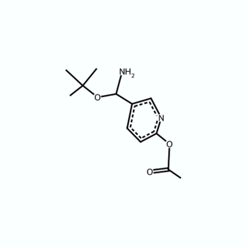 CC(=O)Oc1ccc(C(N)OC(C)(C)C)cn1